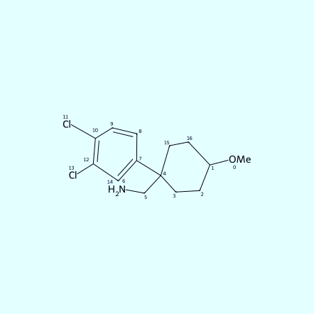 COC1CCC(CN)(c2ccc(Cl)c(Cl)c2)CC1